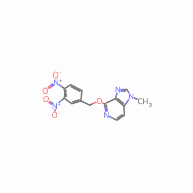 Cn1cnc2c(OCc3ccc([N+](=O)[O-])c([N+](=O)[O-])c3)nccc21